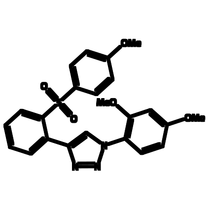 COc1ccc(S(=O)(=O)c2ccccc2-c2cn(-c3ccc(OC)cc3OC)nn2)cc1